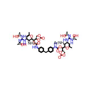 CB(O)/N=C(/NB(C)O)N[C@H]1C=C(C)O[C@@H]([C@H](OC(=O)Nc2ccc(Cc3ccc(NC(=O)O[C@@H]([C@@H]4OC(C)=C[C@H](N/C(=N\B(C)O)NB(C)O)[C@H]4NC(C)=O)[C@H]4COC(=O)O4)cc3)cc2)[C@H]2COC(=O)O2)[C@@H]1NC(C)=O